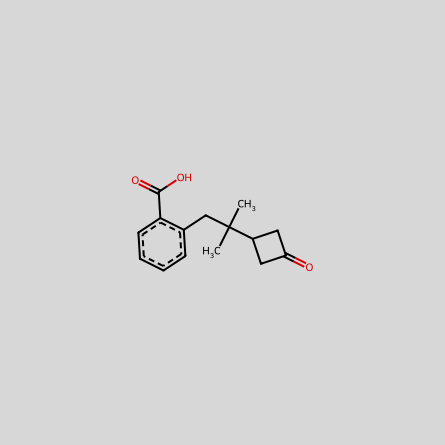 CC(C)(Cc1ccccc1C(=O)O)C1CC(=O)C1